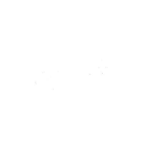 O=C(Cc1ccc(C2(C(F)(F)F)C=N2)cc1)OCCc1ccc(C2(C(F)(F)F)C=N2)cc1